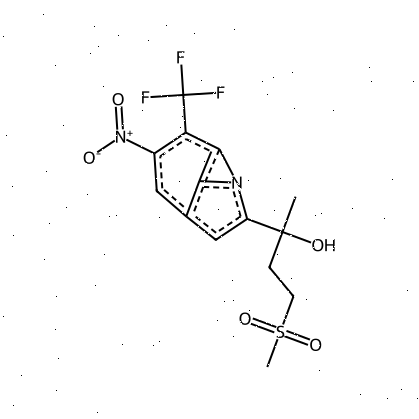 CC(O)(CCS(C)(=O)=O)c1cc2cc([N+](=O)[O-])c(C(F)(F)F)c3c2n1-3